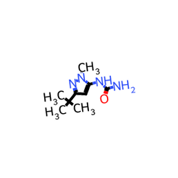 Cn1nc(C(C)(C)C)cc1NC(N)=O